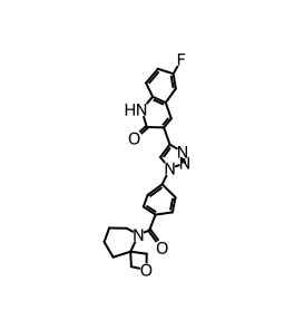 O=C(c1ccc(-n2cc(-c3cc4cc(F)ccc4[nH]c3=O)nn2)cc1)N1CCCCC12COC2